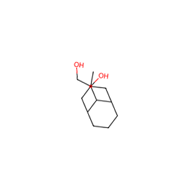 CC1(CO)CC2CCCC(C1)C2CO